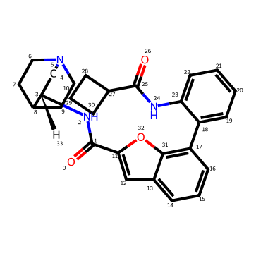 O=C(N[C@H]1CN2CCC1CC2)c1cc2cccc(-c3ccccc3NC(=O)C3CCC3)c2o1